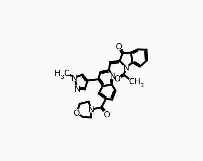 CC(=O)N1/C(=C\c2cc(-c3cnn(C)c3)c3cc(C(=O)N4CCOCC4)ccc3n2)C(=O)c2ccccc21